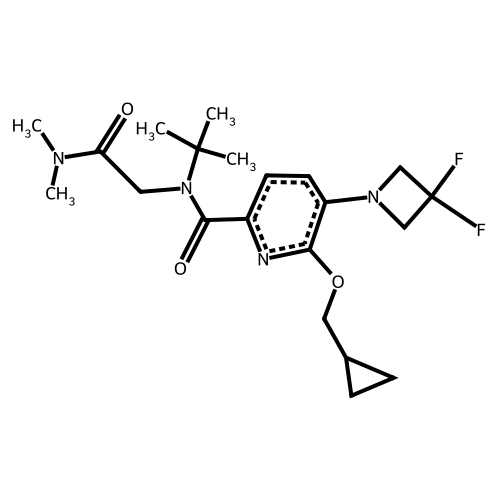 CN(C)C(=O)CN(C(=O)c1ccc(N2CC(F)(F)C2)c(OCC2CC2)n1)C(C)(C)C